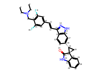 CCN(CC)Cc1c(F)cc(C=Cc2n[nH]c3cc([C@@H]4C[C@@]45C(=O)Nc4ccccc45)ccc23)cc1F